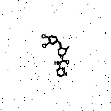 CC1CN(C(=O)Nc2cccnn2)CCC1=Cc1ccc(Cl)c(Cl)c1